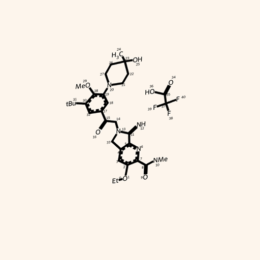 CCOc1cc2c(nc1C(=O)NC)C(=N)N(CC(=O)c1cc(N3CCC(C)(O)CC3)c(OC)c(C(C)(C)C)c1)C2.O=C(O)C(F)(F)F